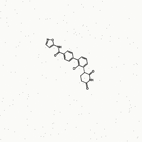 O=C1CCC(c2cccc(-c3ccc(C(=O)Nc4ccno4)cc3)c2Cl)C(=O)N1